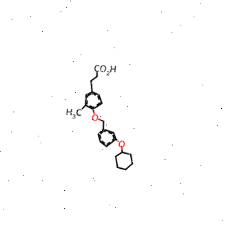 Cc1cc(CCC(=O)O)ccc1OCc1cccc(OC2CCCCC2)c1